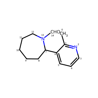 Cc1ncccc1C1CCCCCN1C=O